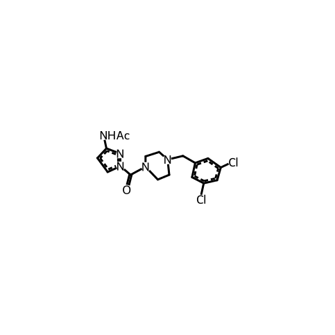 CC(=O)Nc1ccn(C(=O)N2CCN(Cc3cc(Cl)cc(Cl)c3)CC2)n1